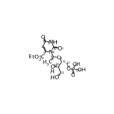 CCOC(=O)c1cc(=O)[nH]c(=O)n1C(C)O[C@H](COP(=O)(O)O)[C@H](O)CO